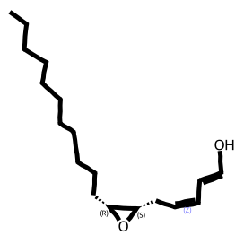 CCCCCCCCCCC[C@H]1O[C@H]1C/C=C\C=CO